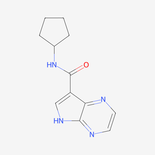 O=C(NC1CCCC1)c1c[nH]c2nccnc12